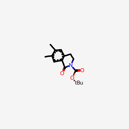 Cc1cc2c(cc1C)C(=O)N(C(=O)OC(C)(C)C)CC2